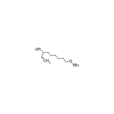 C=CC(CCC)CCCCCCOC(C)(C)C